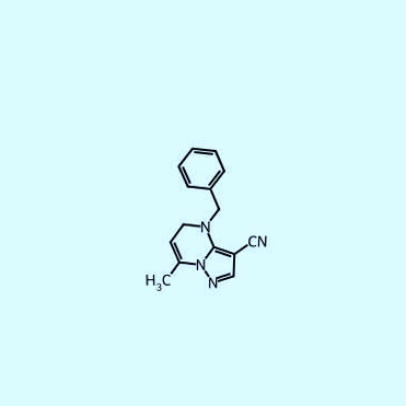 CC1=CCN(Cc2ccccc2)c2c(C#N)cnn21